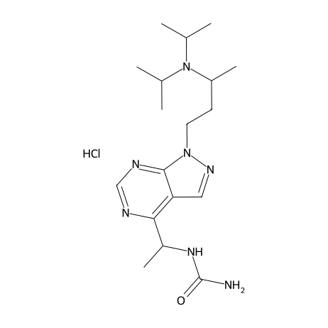 CC(NC(N)=O)c1ncnc2c1cnn2CCC(C)N(C(C)C)C(C)C.Cl